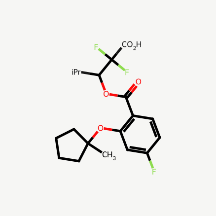 CC(C)C(OC(=O)c1ccc(F)cc1OC1(C)CCCC1)C(F)(F)C(=O)O